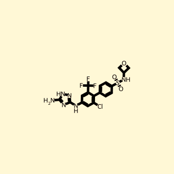 Nc1nc(Nc2cc(Cl)c(-c3ccc(S(=O)(=O)NC4COC4)cc3)c(C(F)(F)F)c2)n[nH]1